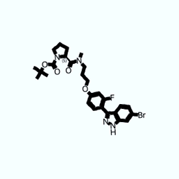 CN(CCCOc1ccc(-c2n[nH]c3cc(Br)ccc23)c(F)c1)C(=O)[C@@H]1CCCN1C(=O)OC(C)(C)C